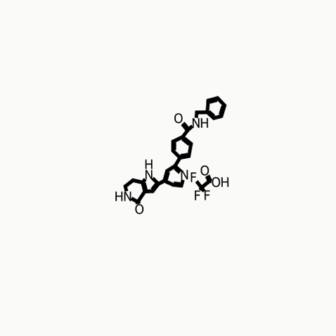 O=C(NCc1ccccc1)c1ccc(-c2cc(-c3cc4c([nH]3)CCNC4=O)ccn2)cc1.O=C(O)C(F)(F)F